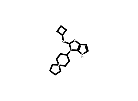 c1cc2c([nH]1)N(C1CC[Si]3(CCCC3)CC1)C(OC1CCC1)S2